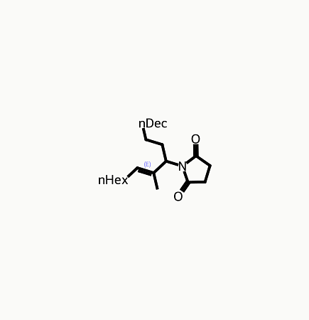 CCCCCC/C=C(\C)C(CCCCCCCCCCCC)N1C(=O)CCC1=O